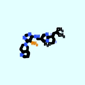 C=C(C)/C=C(\C=C/C)c1ncc(CNc2ncnc(N3CCc4ncccc4C3)c2P)cn1